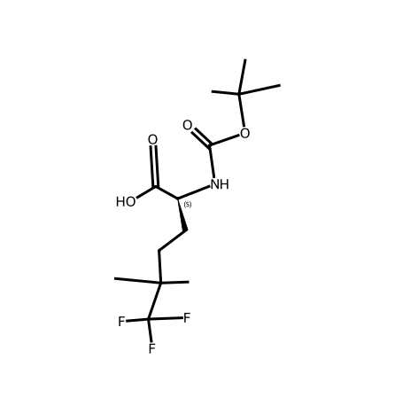 CC(C)(C)OC(=O)N[C@@H](CCC(C)(C)C(F)(F)F)C(=O)O